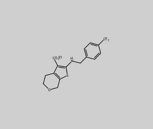 CCOC(=O)c1c(NCc2ccc(C(F)(F)F)cc2)sc2c1CCOC2